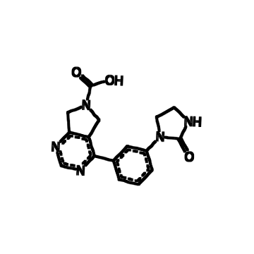 O=C(O)N1Cc2ncnc(-c3cccc(N4CCNC4=O)c3)c2C1